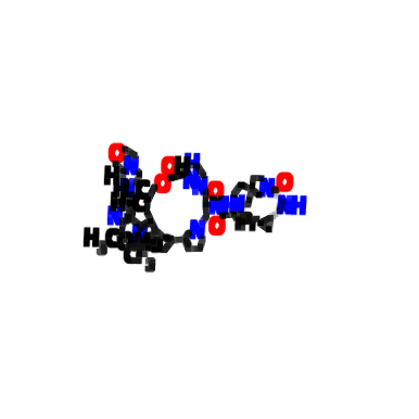 CO[C@@H](C)c1ncc(N2CCN3CCOC[C@@H]3C2)cc1-c1c2c3cc(ccc3n1CC(F)(F)F)C1=CCCN(C1)C[C@H](NC(=O)[C@H](C(C)C)N1CC[C@]3(CCN(C(=O)[C@@H]4N[C@@H]4C4CC4)C3)C1)C(=O)N1CCC[C@H](N1)C(=O)OCC(C)(C)C2